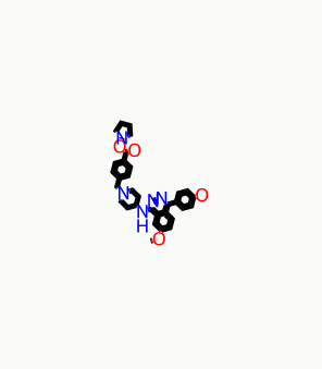 COc1ccc(-c2nnc(NC3CCN(Cc4ccc(C(=O)ON5CCCC5)cc4)CC3)c3cc(OC)ccc23)cc1